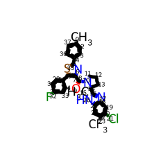 Cc1ccc(-c2nc(C(=O)N3CCC[C@@]3(C)c3nc4cc(Cl)c(C(F)(F)F)cc4[nH]3)c(-c3ccc(F)cc3)s2)cc1